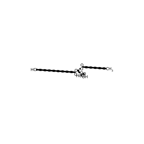 C#CC#CC#CC#CC#CC#CC#CC#CC#CC(=O)O[C@H](COC(=O)C#CC#CC#CC#CC#CC)COP(=O)(O)O